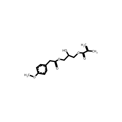 C=C(C)C(=O)OCC(O)COC(=O)Cc1ccc(OC)cc1